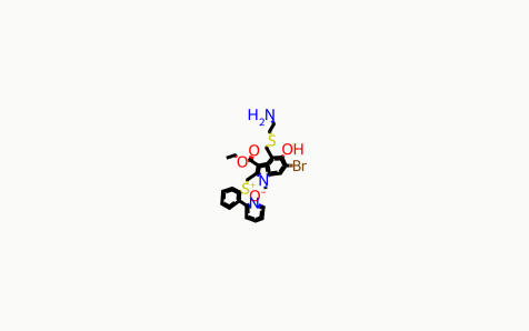 CCOC(=O)c1c(C[S+]([O-])c2ccccc2-c2ccccn2)n(C)c2cc(Br)c(O)c(CSCCN)c12